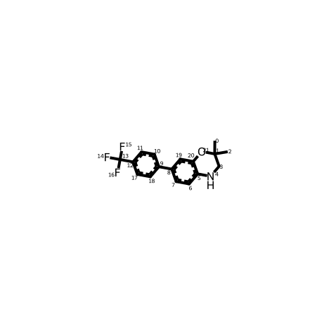 CC1(C)CNc2ccc(-c3ccc(C(F)(F)F)cc3)cc2O1